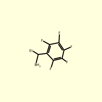 BC(CC)c1c(F)c(F)c(F)c(F)c1F